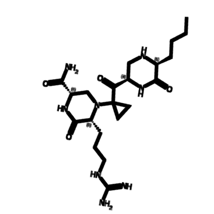 CCCC[C@@H]1NC[C@H](C(=O)C2(N3C[C@@H](C(N)=O)NC(=O)[C@H]3CCCNC(=N)N)CC2)NC1=O